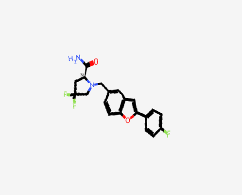 NC(=O)[C@@H]1CC(F)(F)CN1Cc1ccc2oc(-c3ccc(F)cc3)cc2c1